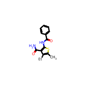 CCc1c(C)sc(NC(=O)c2ccccc2)c1C(N)=O